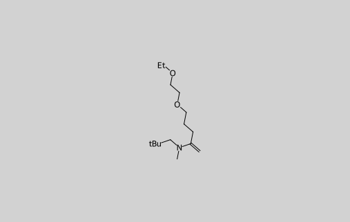 C=C(CCCOCCOCC)N(C)CC(C)(C)C